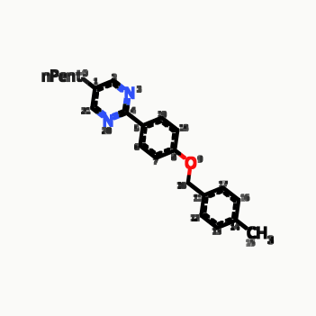 CCCCCc1cnc(-c2ccc(OCc3ccc(C)cc3)cc2)nc1